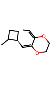 C/C=C1/OCCO/C1=C/[C@@H]1CCC1C